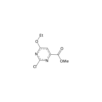 CCOc1cc(C(=O)OC)nc(Cl)n1